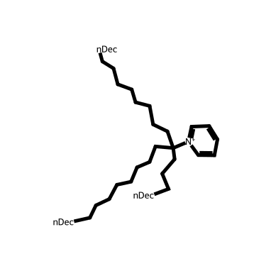 CCCCCCCCCCCCCCCCCCC(CCCCCCCCCCCCC)(CCCCCCCCCCCCCCCCCC)[n+]1ccccc1